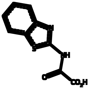 O=C(O)C(=O)Nc1nc2ccccc2s1